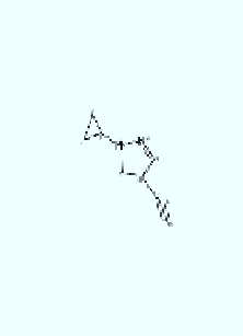 C#CC1C=NN(C2CC2)C1